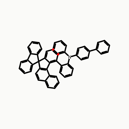 c1ccc(-c2ccc(N(c3ccccc3)c3ccccc3-c3cccc4c3-c3c(ccc5ccccc35)C43c4ccccc4-c4ccccc43)cc2)cc1